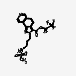 CS(=O)(=O)NCCCn1nc2c(c1C(=O)OC(=O)C(F)(F)F)CCc1cnccc1-2